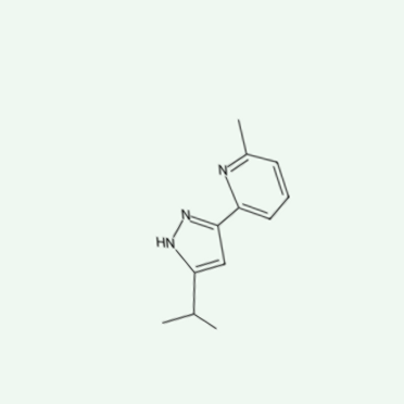 Cc1cccc(-c2cc(C(C)C)[nH]n2)n1